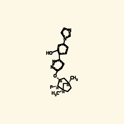 C[C@]12CC[C@](C)(C1)[C@H](F)[C@H](Oc1ccc(-c3ccc(-n4ccnc4)cc3O)nn1)C2